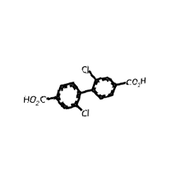 O=C(O)c1ccc(-c2ccc(C(=O)O)cc2Cl)c(Cl)c1